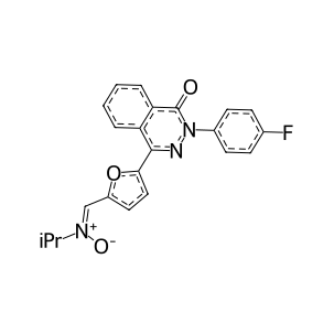 CC(C)/[N+]([O-])=C/c1ccc(-c2nn(-c3ccc(F)cc3)c(=O)c3ccccc23)o1